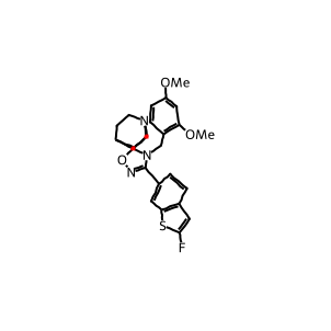 COc1ccc(CN2C(c3ccc4cc(F)sc4c3)=NOC23CN2CCC3CC2)c(OC)c1